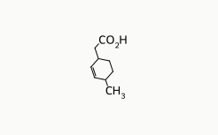 CC1C=CC(CC(=O)O)CC1